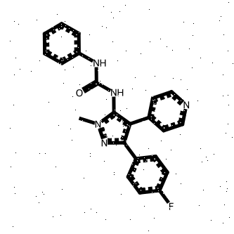 Cn1nc(-c2ccc(F)cc2)c(-c2ccncc2)c1NC(=O)Nc1ccccc1